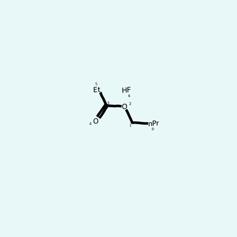 CCCCOC(=O)CC.F